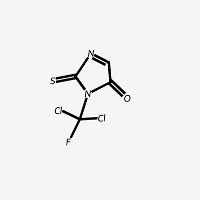 O=C1C=NC(=S)N1C(F)(Cl)Cl